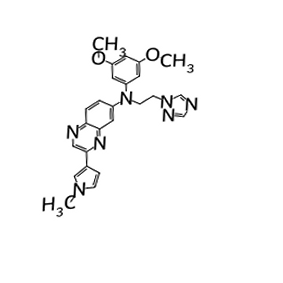 COc1cc(OC)cc(N(CCn2cncn2)c2ccc3ncc(-c4ccn(C)c4)nc3c2)c1